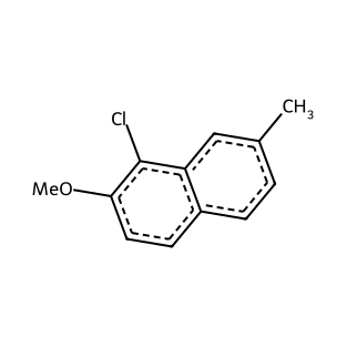 COc1ccc2ccc(C)cc2c1Cl